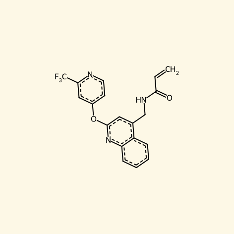 C=CC(=O)NCc1cc(Oc2ccnc(C(F)(F)F)c2)nc2ccccc12